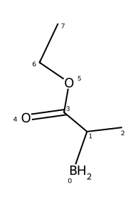 BC(C)C(=O)OCC